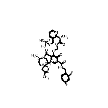 CC1=NO[C@@]2(CC[C@H](C)N3C[C@H]2n2cc(C(=O)NCc4ccc(F)cc4F)c(=O)c(OCOC(=O)N(C)c4ncccc4COP(=O)(O)O)c2C3=O)C1